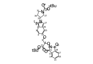 C[n+]1c2ccc(OCC(ON3C(=O)c4ccccc4C3=O)C(=O)OC(C)(C)C)cc2cn1[C@@H]1CCN(C(=O)OC(C)(C)C)C1